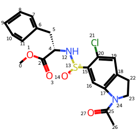 COC(=O)[C@H](Cc1ccccc1)N[S+]([O-])c1cc2c(cc1Cl)CCN2C(C)=O